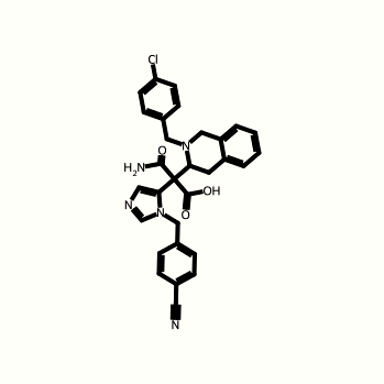 N#Cc1ccc(Cn2cncc2C(C(N)=O)(C(=O)O)C2Cc3ccccc3CN2Cc2ccc(Cl)cc2)cc1